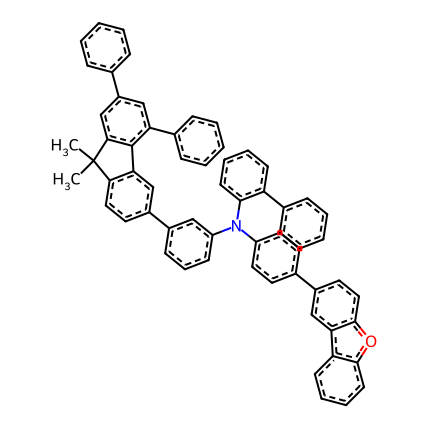 CC1(C)c2ccc(-c3cccc(N(c4ccc(-c5ccc6oc7ccccc7c6c5)cc4)c4ccccc4-c4ccccc4)c3)cc2-c2c(-c3ccccc3)cc(-c3ccccc3)cc21